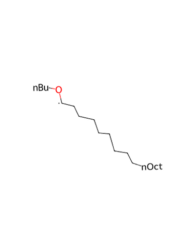 CCCCCCCCCCCCCCCC[CH]OCCCC